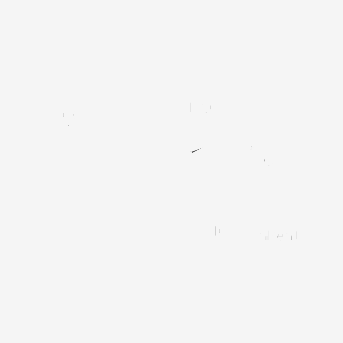 CCCCCC(O)/C=C/[C@H]1C(=O)CC(O)[C@@H]1C/C=C/CCCC(=O)O